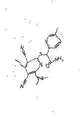 CCc1c(C#N)c(SC(C(N)=O)c2ccc(C)cn2)nc(N(C)C)c1C#N